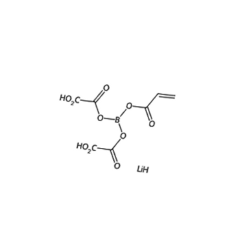 C=CC(=O)OB(OC(=O)C(=O)O)OC(=O)C(=O)O.[LiH]